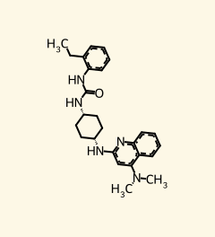 CCc1ccccc1NC(=O)N[C@H]1CC[C@@H](Nc2cc(N(C)C)c3ccccc3n2)CC1